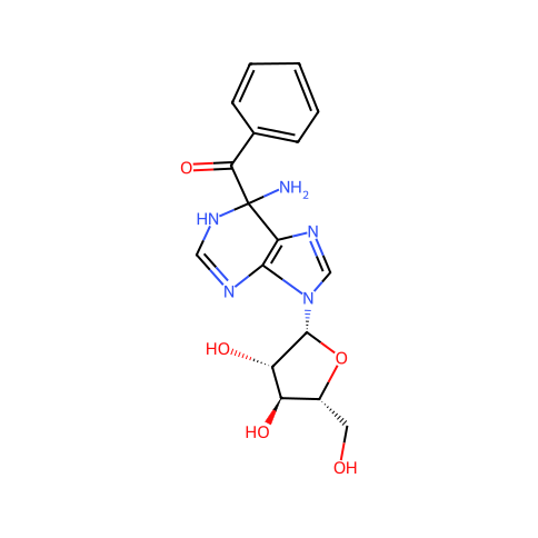 NC1(C(=O)c2ccccc2)NC=Nc2c1ncn2[C@@H]1O[C@H](CO)[C@@H](O)[C@@H]1O